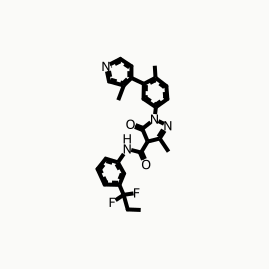 CCC(F)(F)c1cccc(NC(=O)C2C(=O)N(c3ccc(C)c(-c4ccncc4C)c3)N=C2C)c1